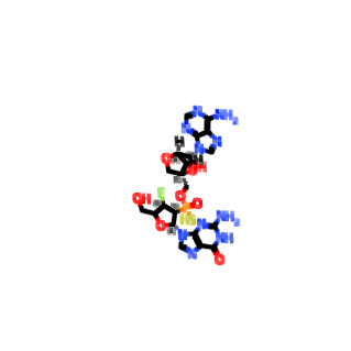 Nc1nc2c(ncn2[C@@H]2OC(CO)[C@@H](F)[C@H]2P(=O)(S)OC[C@@]23CO[C@@H]([C@H](n4cnc5c(N)ncnc54)O2)[C@@H]3O)c(=O)[nH]1